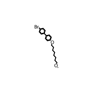 COCCCCCCCCOc1ccc(-c2ccc(Br)cc2)cc1